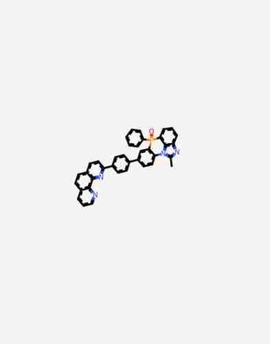 Cc1nc2cccc3c2n1-c1ccc(-c2ccc(-c4ccc5ccc6cccnc6c5n4)cc2)cc1P3(=O)c1ccccc1